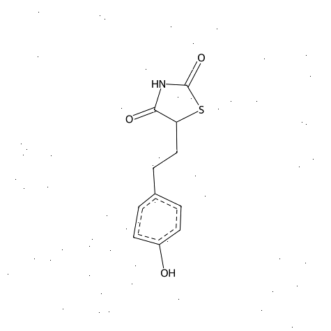 O=C1NC(=O)C(CCc2ccc(O)cc2)S1